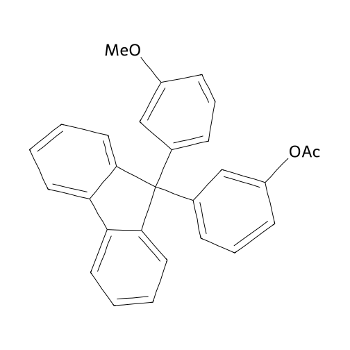 COc1cccc(C2(c3cccc(OC(C)=O)c3)c3ccccc3-c3ccccc32)c1